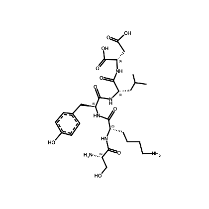 CC(C)C[C@H](NC(=O)[C@H](Cc1ccc(O)cc1)NC(=O)[C@H](CCCCN)NC(=O)[C@@H](N)CO)C(=O)N[C@@H](CC(=O)O)C(=O)O